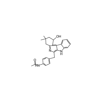 CC(=O)Nc1ccc(Cc2nc3c(c4c2[nH]c2ccccc24)C(O)CC(C)(C)C3)cc1